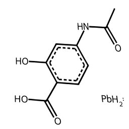 CC(=O)Nc1ccc(C(=O)O)c(O)c1.[PbH2]